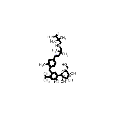 Cc1cc(/C=C/C(C)(C)CNCC(C)(C)C(N)=O)ccc1Cc1cc(C2O[C@H](CO)[C@@H](O)[C@H](O)[C@H]2O)c(O)cc1C(C)C